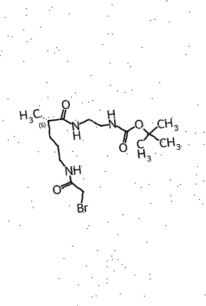 C[C@@H](CCCNC(=O)CBr)C(=O)NCCNC(=O)OC(C)(C)C